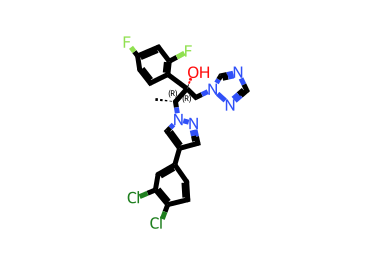 C[C@@H](n1cc(-c2ccc(Cl)c(Cl)c2)cn1)[C@](O)(Cn1cncn1)c1ccc(F)cc1F